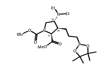 CCN(CC)[C@H]1CN(C(=O)OC(C)(C)C)[C@H](C(=O)OC)[C@@H]1CCCB1OC(C)(C)C(C)(C)O1